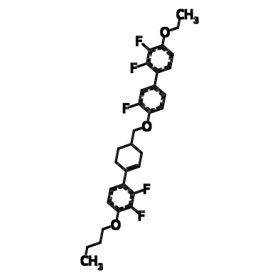 CCCCOc1ccc(C2=CCC(COc3ccc(-c4ccc(OCC)c(F)c4F)cc3F)CC2)c(F)c1F